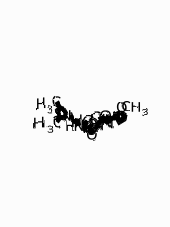 COc1cccc(-c2nc(CS(=O)(=O)CC(=O)NCCCN3CC(C)CC(C)C3)c(C)o2)c1